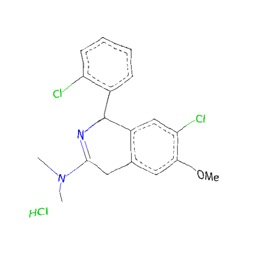 COc1cc2c(cc1Cl)C(c1ccccc1Cl)N=C(N(C)C)C2.Cl